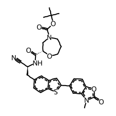 Cn1c(=O)oc2ccc(-c3cc4cc(C[C@@H](C#N)NC(=O)[C@@H]5CN(C(=O)OC(C)(C)C)CCCO5)ccc4s3)cc21